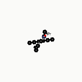 C=C(/C=C\C(=C/C)n1c(-c2ccc(-c3ccccc3)cc2)cc2cc3c(cc(-c4ccc(-c5ccccc5)cc4)n3-c3ccc4c(c3)C(C)(C)c3ccccc3-4)cc21)c1ccccc1C(C)C